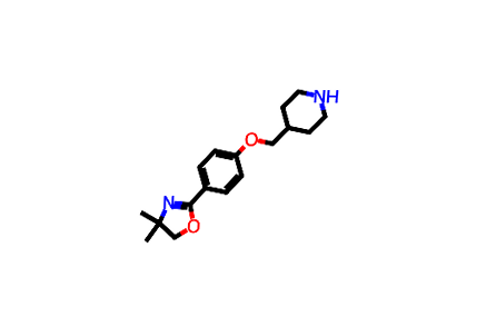 CC1(C)COC(c2ccc(OCC3CCNCC3)cc2)=N1